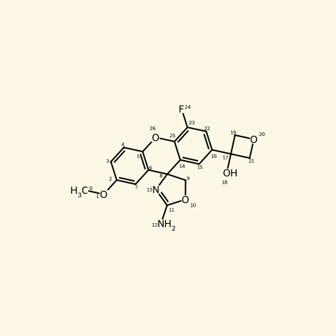 COc1ccc2c(c1)C1(COC(N)=N1)c1cc(C3(O)COC3)cc(F)c1O2